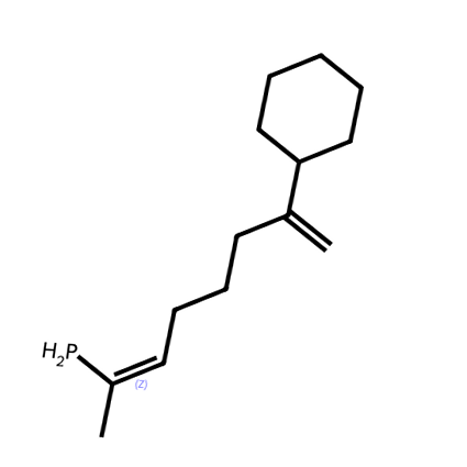 C=C(CCC/C=C(/C)P)C1CCCCC1